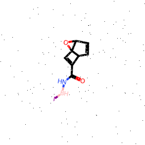 O=C(NBI)C1=CC23OC2C=CC13